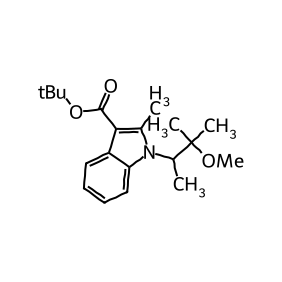 COC(C)(C)C(C)n1c(C)c(C(=O)OC(C)(C)C)c2ccccc21